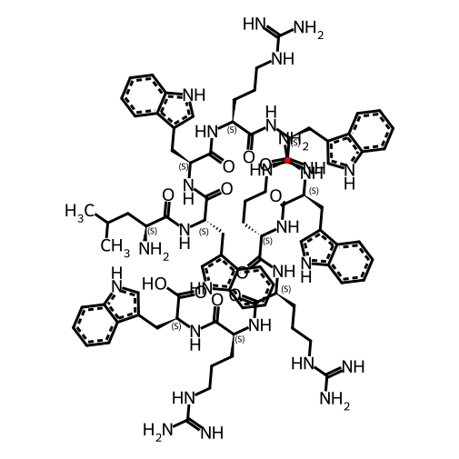 CC(C)C[C@H](N)C(=O)N[C@@H](Cc1c[nH]c2ccccc12)C(=O)N[C@@H](Cc1c[nH]c2ccccc12)C(=O)N[C@@H](CCCNC(=N)N)C(=O)N[C@@H](Cc1c[nH]c2ccccc12)C(=O)N[C@@H](Cc1c[nH]c2ccccc12)C(=O)N[C@@H](CCCNC(=N)N)C(=O)N[C@@H](CCCNC(=N)N)C(=O)N[C@@H](CCCNC(=N)N)C(=O)N[C@@H](Cc1c[nH]c2ccccc12)C(=O)O